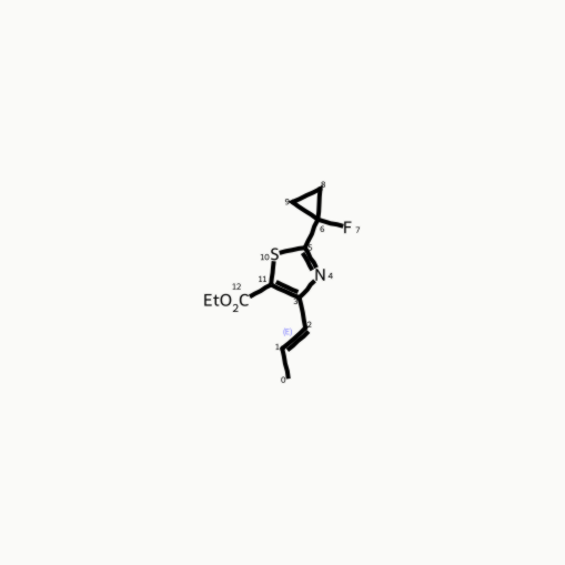 C/C=C/c1nc(C2(F)CC2)sc1C(=O)OCC